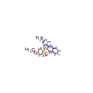 COc1ccc(S(=O)(=O)c2nc3ccccc3nc2N2CCN(C)CC2)cc1